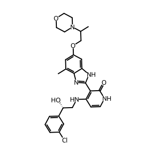 Cc1cc(OCC(C)N2CCOCC2)cc2[nH]c(-c3c(NC[C@@H](O)c4cccc(Cl)c4)cc[nH]c3=O)nc12